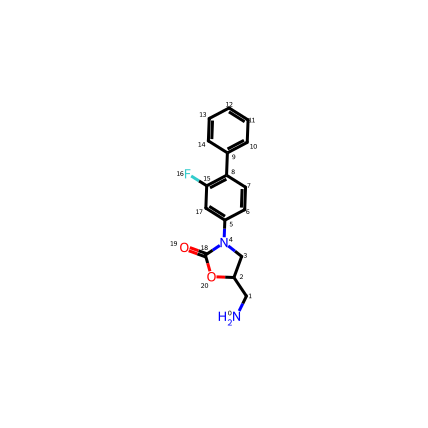 NCC1CN(c2ccc(-c3ccccc3)c(F)c2)C(=O)O1